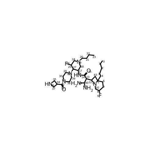 CCCCCC12CCC(F)CN1C(C(C(=O)NC1CN(CCCC)CC(F)C1N1CCN(C(=O)C3CNC3)CC1)C(N)N)C2